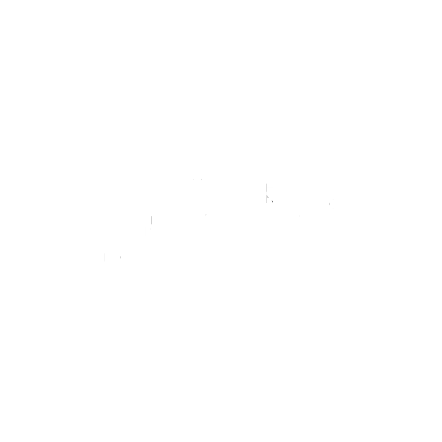 CPOC(=O)C1CCC(=O)N1